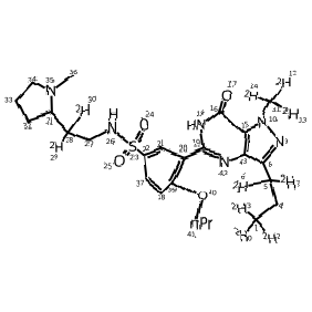 [2H]C([2H])([2H])CC([2H])([2H])c1nn(C([2H])([2H])[2H])c2c(=O)[nH]c(-c3cc(S(=O)(=O)NCC([2H])([2H])C4CCCN4C)ccc3OCCC)nc12